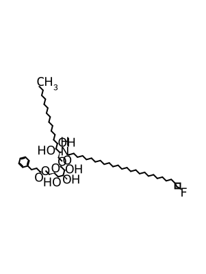 CCCCCCCCCCCCCC[C@@H](O)[C@@H](O)[C@H](CO[C@H]1O[C@H](COC(=O)CCc2ccccc2)[C@H](O)[C@H](O)[C@H]1O)NC(=O)CCCCCCCCCCCCCCCCCCCCCCCC12CC(F)(C1)C2